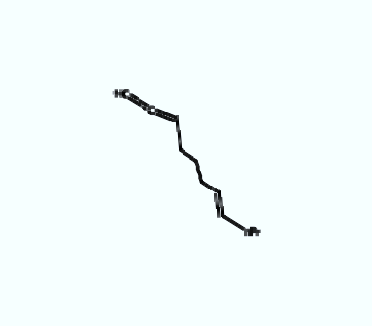 [CH]=C=CCCCC=CCCC